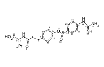 CC(C)[C@@H](NC(=O)CCc1ccc(OC(=O)c2ccc(NC(=N)N)cc2)cc1)C(=O)O